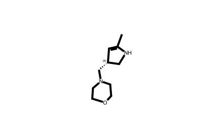 CC1=C[C@@H](CN2CCOCC2)CN1